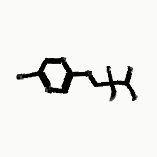 FC(F)C(F)(F)COc1cnc(Cl)cn1